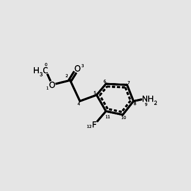 COC(=O)Cc1ccc(N)cc1F